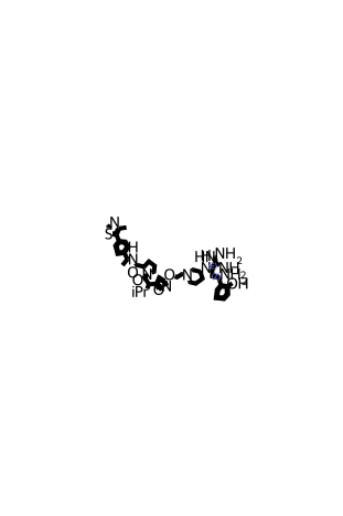 Cc1ncsc1-c1ccc(C(C)NC(=O)C2CCCN2C(=O)C(c2cc(OCCN3CCCC(NC(/C=C(\N)c4ccccc4O)=C(/N)C(=N)N)C3)no2)C(C)C)cc1